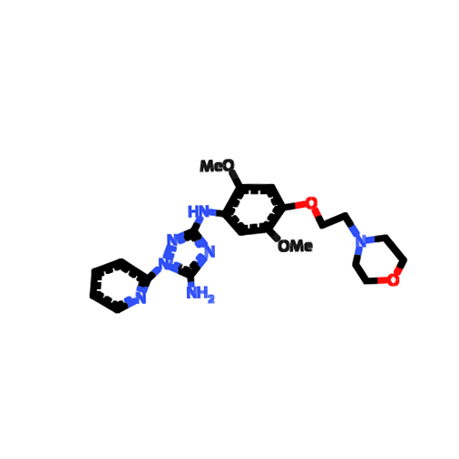 COc1cc(OCCN2CCOCC2)c(OC)cc1Nc1nc(N)n(-c2ccccn2)n1